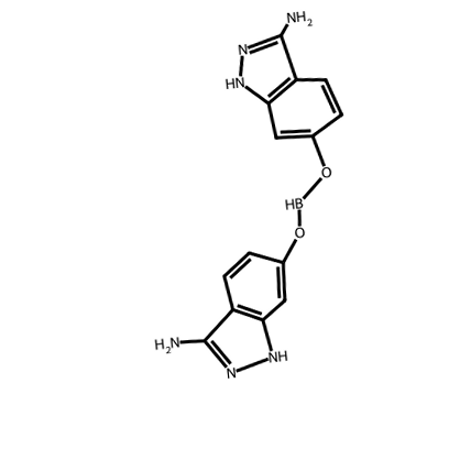 Nc1n[nH]c2cc(OBOc3ccc4c(N)n[nH]c4c3)ccc12